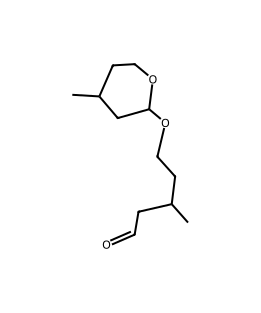 CC(CC=O)CCOC1CC(C)CCO1